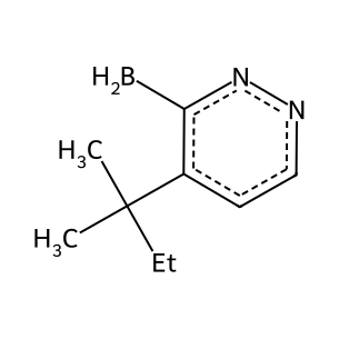 Bc1nnccc1C(C)(C)CC